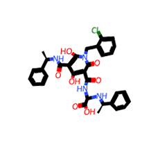 C[C@@H](NC(=O)c1c(O)c(C(=O)NC(N[C@H](C)c2ccccc2)C(=O)O)c(=O)n(Cc2ccccc2Cl)c1O)c1ccccc1